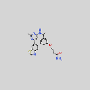 Cc1nc(NC(C)c2cccc(OCCCC(N)=O)c2)cc(-c2ccc3ncsc3c2)n1